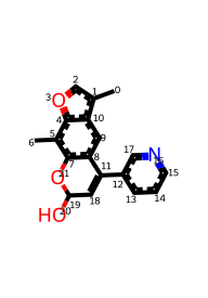 Cc1coc2c(C)c3c(cc12)C(c1cccnc1)=CC(O)O3